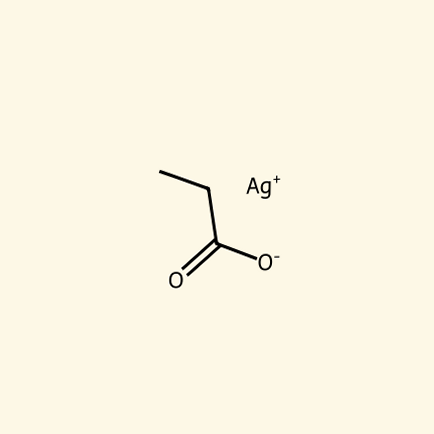 CCC(=O)[O-].[Ag+]